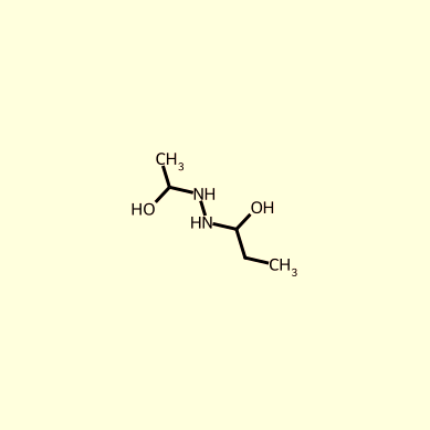 CCC(O)NNC(C)O